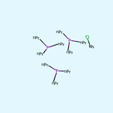 CCCP(CCC)CCC.CCCP(CCC)CCC.CCCP(CCC)CCC.[Cl][Rh]